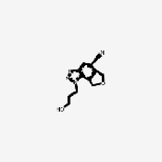 N#Cc1cc2nnn(CCCO)c2c2c1COC2